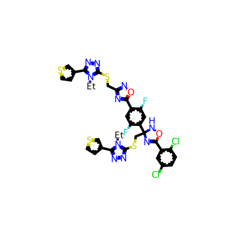 CCn1c(SCc2noc(-c3cc(F)c(C4(CSc5nnc(-c6ccsc6)n5CC)N=C(c5cc(Cl)ccc5Cl)ON4)cc3F)n2)nnc1-c1ccsc1